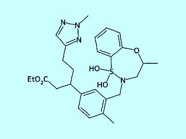 CCOC(=O)CC(CCc1cnn(C)n1)c1ccc(C)c(CN2CC(C)Oc3ccccc3S2(O)O)c1